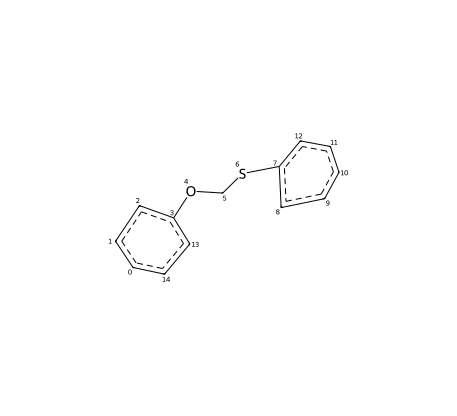 c1ccc(OCSc2ccccc2)cc1